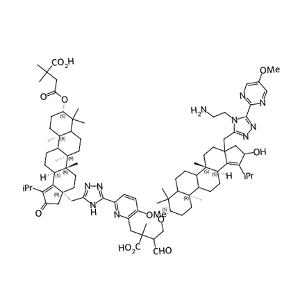 COc1cnc(-c2nnc(CC34CC[C@@]5(C)C6CCC7C(C)(C)[C@@H](OCC(C=O)C(C)(Cc8nc(-c9nnc(C[C@@]%10%11CC[C@]%12(C)[C@H](CCC%13[C@@]%14(C)CC[C@H](OC(=O)CC(C)(C)C(=O)O)C(C)(C)C%14CC[C@]%13%12C)C%10=C(C(C)C)C(=O)C%11)[nH]9)ccc8OC)C(=O)O)CC[C@]7(C)C6CC[C@@H]5C3=C(C(C)C)C(O)C4)n2CCN)nc1